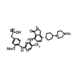 COc1cc(C[PH](=O)O)ccc1Nc1ncc(C(F)(F)F)c(Nc2ccc([C@H]3CC[C@H](N4CCN(C(C)=O)CC4)CC3)c3c2C(=O)N(C)C3)n1